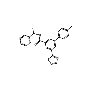 Cc1ccc(-c2cc(C(=O)NC(C)c3cnccn3)cc(-c3nccs3)c2)cc1